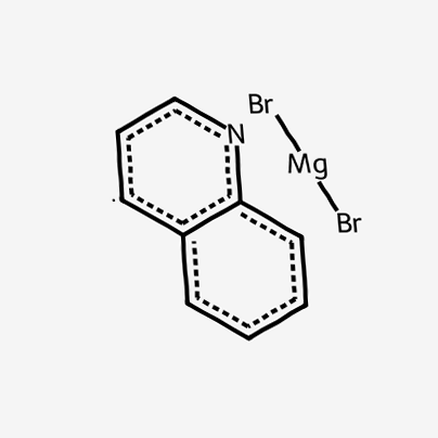 [Br][Mg][Br].[c]1ccnc2ccccc12